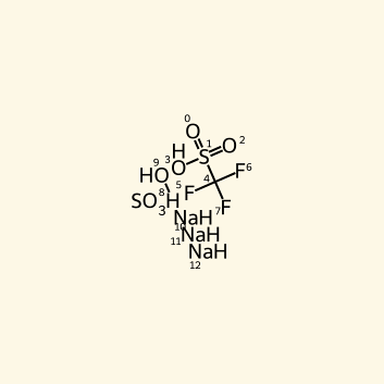 O=S(=O)(O)C(F)(F)F.O=S(=O)(O)O.[NaH].[NaH].[NaH]